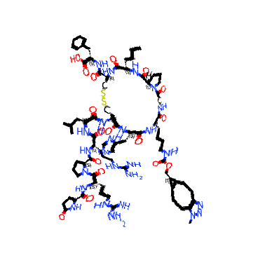 CCCC[C@@H]1NC(=O)[C@@H]2CCCN2C(=O)CNC(=O)[C@H](CCCCNC(=O)OC[C@H]2C3CCc4nnn(C)c4CCC32)NC(=O)[C@H](Cc2c[nH]cn2)NC(=O)[C@@H](NC(=O)[C@H](CC(C)C)NC(=O)[C@H](CCCNC(=N)N)NC(=O)[C@@H]2CCCN2C(=O)[C@H](CCCNC(=N)N)NC(=O)[C@@H]2CCC(=O)N2)CSSC[C@@H](C(=O)N[C@@H](Cc2ccccc2)C(=O)O)NC1=O